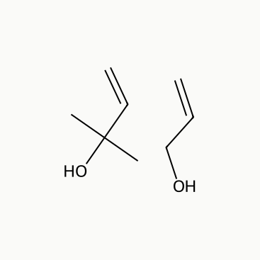 C=CC(C)(C)O.C=CCO